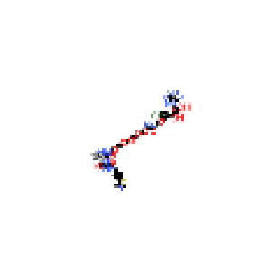 Cc1ncsc1-c1ccc(CNC(=O)[C@@H]2C[C@@H](O)CN2C(=O)[C@@H](NC(=O)COCCOCCOCCOCCOCC(=O)NCCOc2cc([C@@H](O)[C@H]3O[C@@H](n4ccc5c(N)ncnc54)[C@H](O)[C@@H]3O)ccc2Cl)C(C)(C)C)cc1